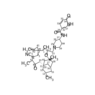 C=C[C@@]1(C[C@@H](C#N)C(C)C(=O)C[C@@]23CC(C)CC(C2)C[C@@](C)(OCCN2CCC(NC(=O)c4ccc(=O)[nH]c4)CC2)C3)C[C@@H]1C